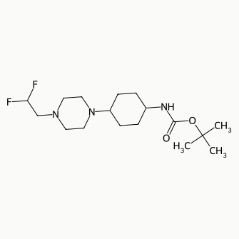 CC(C)(C)OC(=O)NC1CCC(N2CCN(CC(F)F)CC2)CC1